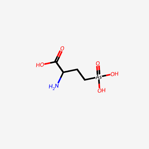 NC(CC[As](=O)(O)O)C(=O)O